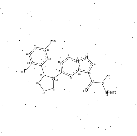 CCCCCC(C)C(=O)c1cnn2ccc(N3CCCC3c3cc(F)ccc3F)cc12